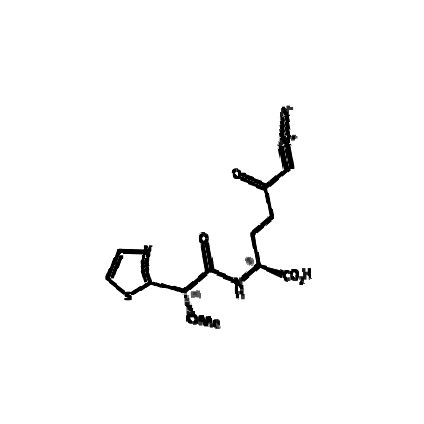 CO[C@@H](C(=O)N[C@@H](CCC(=O)C=[N+]=[N-])C(=O)O)c1nccs1